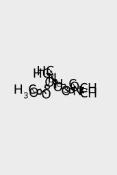 C#CCN(CC#C)c1ccc(Oc2cccc(Oc3ccc(N(CC#C)CC#C)c(Oc4ccc(C(=O)c5ccc(OC)cc5)cc4)c3)c2)cc1OC